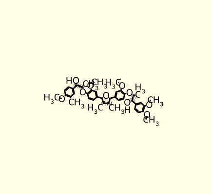 COc1ccc([C@@H](O)[C@@H](C)Oc2ccc(C3OC(c4ccc(O[C@H](C)[C@H](O)c5ccc(OC)c(OC)c5)c(OC)c4)[C@@H](C)[C@H]3C)cc2OC)cc1C